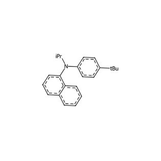 CC(C)N(c1ccc(C(C)(C)C)cc1)c1cccc2ccccc12